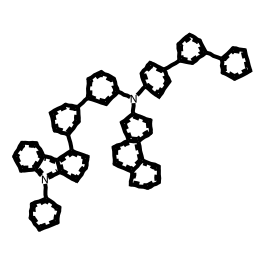 c1ccc(-c2cccc(-c3ccc(N(c4cccc(-c5cccc(-c6cccc7c6c6ccccc6n7-c6ccccc6)c5)c4)c4ccc5c(ccc6ccccc65)c4)cc3)c2)cc1